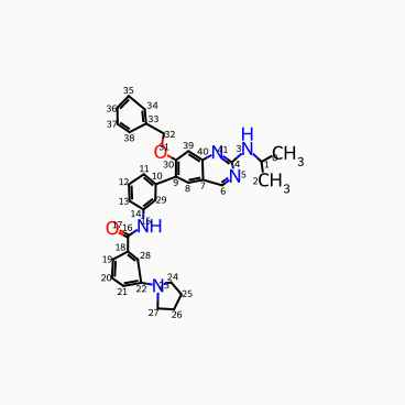 CC(C)Nc1ncc2cc(-c3cccc(NC(=O)c4cccc(N5CCCC5)c4)c3)c(OCc3ccccc3)cc2n1